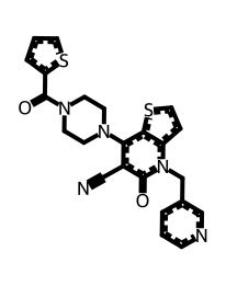 N#Cc1c(N2CCN(C(=O)c3cccs3)CC2)c2sccc2n(Cc2cccnc2)c1=O